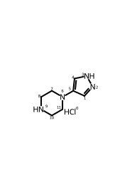 Cl.c1n[nH]cc1N1CCNCC1